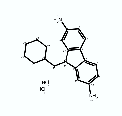 Cl.Cl.Nc1ccc2c3ccc(N)cc3n(CC3CCCCC3)c2c1